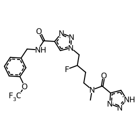 CN(CCC(F)Cn1cc(C(=O)NCc2cccc(OC(F)(F)F)c2)nn1)C(=O)c1c[nH]nn1